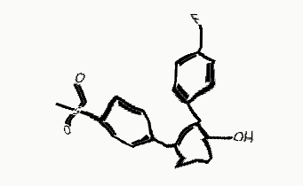 CS(=O)(=O)c1ccc(C2=C(c3ccc(F)cc3)C(O)CC2)cc1